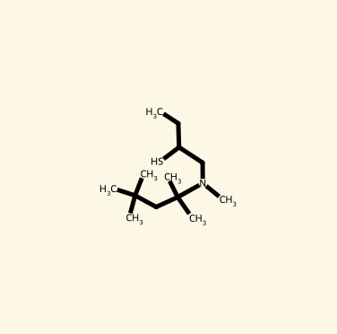 CCC(S)CN(C)C(C)(C)CC(C)(C)C